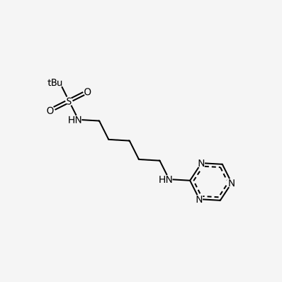 CC(C)(C)S(=O)(=O)NCCCCCNc1ncncn1